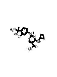 CC(=O)C(C)(N)c1ccc(Nc2ncc(C(N)=O)c(NC3CCC3)n2)cc1Cl